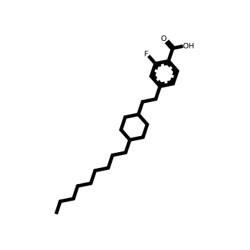 CCCCCCCCCC1CCC(CCc2ccc(C(=O)O)c(F)c2)CC1